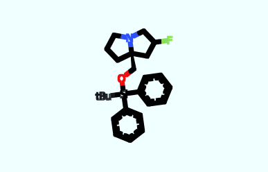 CC(C)(C)[Si](OC[C@@]12CCCN1CC(F)C2)(c1ccccc1)c1ccccc1